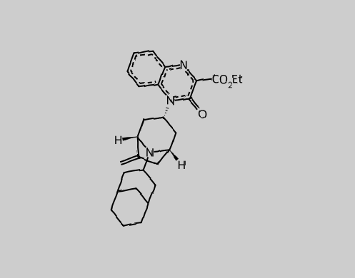 C=C1C[C@H]2C[C@@H](n3c(=O)c(C(=O)OCC)nc4ccccc43)C[C@@H]1N2C1CC2CCCC(C2)C1